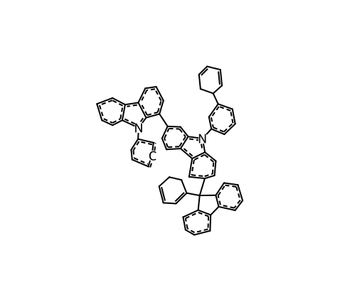 C1=CCCC(C2(c3ccc4c(c3)c3ccc(-c5cccc6c7ccccc7n(-c7ccccc7)c56)cc3n4-c3cccc(C4C=CC=CC4)c3)c3ccccc3-c3ccccc32)=C1